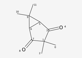 CC1(C)C(=O)C2C(C1=O)C2(C)C